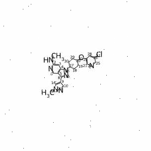 CNc1cc2c(cn1)c(-c1cnn(C)c1)nn2C1CCC(Oc2cncc(Cl)c2)CC1